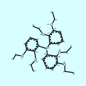 CCOc1cccc(P(c2cccc(OCC)c2OCC)c2cccc(OCC)c2OCC)c1OCC